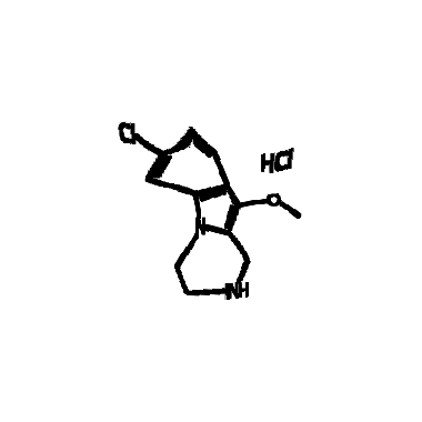 COc1c2n(c3cc(Cl)ccc13)CCNC2.Cl